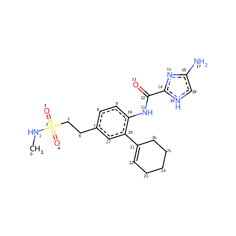 CNS(=O)(=O)CCc1ccc(NC(=O)c2nc(N)c[nH]2)c(C2=CCCCC2)c1